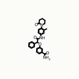 Cc1cc(NC(=O)C(Oc2cccc(C(N)=O)c2)c2ccccc2)ccc1N1CCCCC1=O